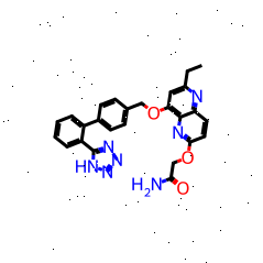 CCc1cc(OCc2ccc(-c3ccccc3-c3nnn[nH]3)cc2)c2nc(OCC(N)=O)ccc2n1